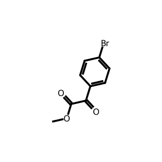 COC(=O)C(=O)c1ccc(Br)cc1